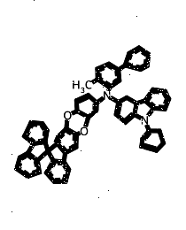 Cc1ccc(-c2ccccc2)cc1N(C1=CC2Oc3cc4c(cc3OC2C=C1)C1(c2ccccc2-c2ccccc21)c1ccccc1-4)C1=CC=C2C(C1)c1ccccc1N2C1=CC=CCC1